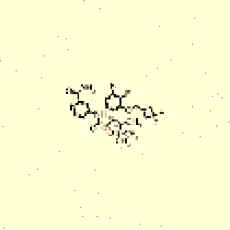 C[C@@H]1[C@H](c2ccc(F)c(F)c2OCC2CC(F)(F)C2)[C@@H](C(=O)Nc2ccnc(C(N)=O)c2)O[C@]1(C)C(F)(F)F